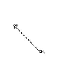 CCCCCCCCCC=CCCCCCCCCCCCCCCCCCCC(=O)O